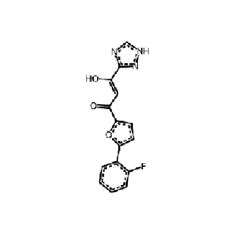 O=C(C=C(O)c1nc[nH]n1)c1ccc(-c2ccccc2F)o1